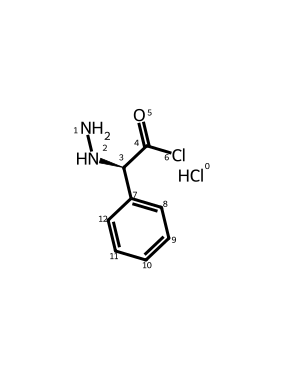 Cl.NN[C@@H](C(=O)Cl)c1ccccc1